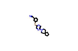 N#Cc1cccc(Sc2cnc(N3CCC4(CCCC4)CC3)cn2)c1